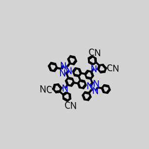 N#Cc1ccc2c(c1)c1cc(C#N)ccc1n2-c1cc(-c2nc(-c3ccccc3)nc(-c3ccccc3)n2)cc(-c2ccccc2-c2ccccc2-c2cc(-c3nc(-c4ccccc4)nc(-c4ccccc4)n3)cc(-n3c4ccc(C#N)cc4c4cc(C#N)ccc43)c2)c1